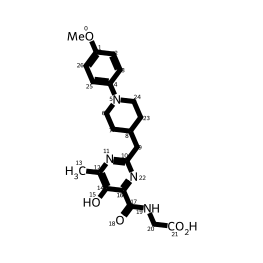 COc1ccc(N2CCC(Cc3nc(C)c(O)c(C(=O)NCC(=O)O)n3)CC2)cc1